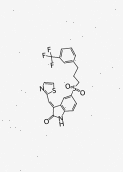 O=C1Nc2ccc(S(=O)(=O)CCCc3cccc(C(F)(F)F)c3)cc2/C1=C\c1nccs1